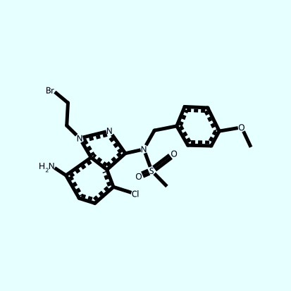 COc1ccc(CN(c2nn(CCBr)c3c(N)ccc(Cl)c23)S(C)(=O)=O)cc1